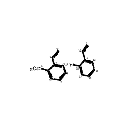 C=Cc1ccccc1CCCCCCCC.C=Cc1ccccc1F